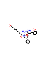 CN(CC(COc1cc(-c2ccccc2O)nnc1N)c1ccccc1)C(=O)CCCCCCCCC=O